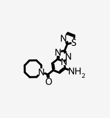 Nc1cc(C(=O)N2CCCCCCC2)cc2nc(-c3nccs3)nn12